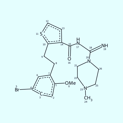 COc1ccc(Br)cc1CCc1sccc1C(=O)NC(=N)N1CCN(C)CC1